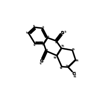 O=C1c2ccccc2C(=O)C2CC(Cl)CCC12